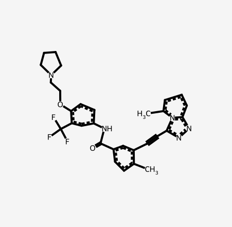 Cc1ccc(C(=O)Nc2ccc(OCCN3CCCC3)c(C(F)(F)F)c2)cc1C#Cc1nnc2cccc(C)n12